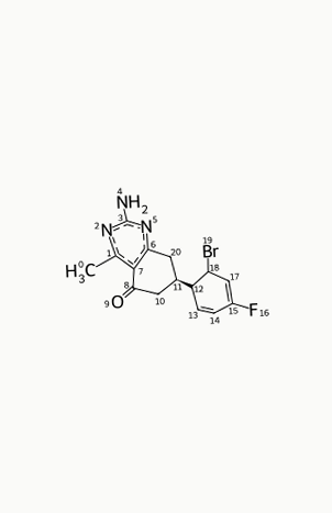 Cc1nc(N)nc2c1C(=O)C[C@H](C1C=CC(F)=CC1Br)C2